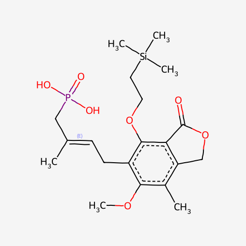 COc1c(C)c2c(c(OCC[Si](C)(C)C)c1C/C=C(\C)CP(=O)(O)O)C(=O)OC2